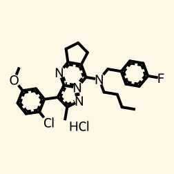 CCCCN(Cc1ccc(F)cc1)c1c2c(nc3c(-c4cc(OC)ccc4Cl)c(C)nn13)CCC2.Cl